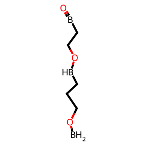 BOCCCBOCCB=O